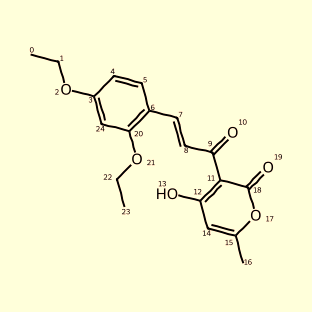 CCOc1ccc(C=CC(=O)c2c(O)cc(C)oc2=O)c(OCC)c1